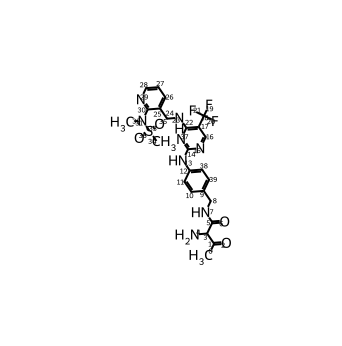 CC(=O)C(N)C(=O)NCc1ccc(Nc2ncc(C(F)(F)F)c(NCc3cccnc3N(C)S(C)(=O)=O)n2)cc1